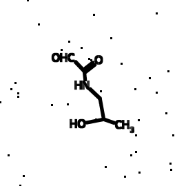 CC(O)CNC(=O)C=O